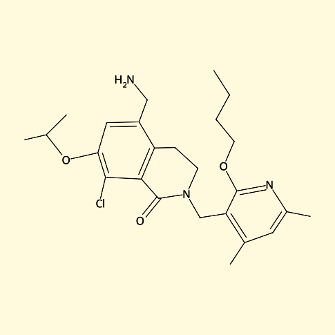 CCCCOc1nc(C)cc(C)c1CN1CCc2c(CN)cc(OC(C)C)c(Cl)c2C1=O